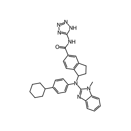 Cn1c(N(c2ccc(C3CCCCC3)cc2)C2CCc3cc(C(=O)Nc4nnn[nH]4)ccc32)nc2ccccc21